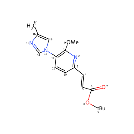 COc1nc(/C=C/C(=O)OC(C)(C)C)ccc1-n1cnc(C)c1